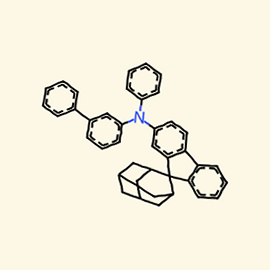 c1ccc(-c2cccc(N(c3ccccc3)c3ccc4c(c3)C3(c5ccccc5-4)C4CC5CC(C4)CC3C5)c2)cc1